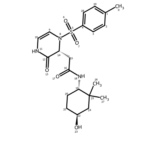 Cc1ccc(S(=O)(=O)N2C=CNC(=O)[C@H]2CC(=O)N[C@H]2CC[C@H](O)CC2(C)C)cc1